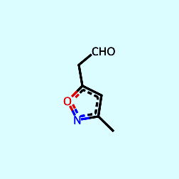 Cc1cc(CC=O)on1